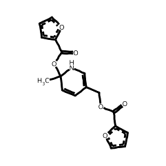 CC1(OC(=O)c2ccco2)C=CC(COC(=O)c2ccco2)=CN1